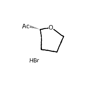 Br.CC(=O)[C@H]1CCCO1